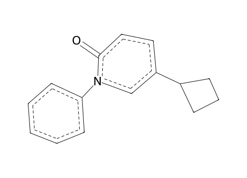 O=c1ccc(C2CCC2)cn1-c1ccccc1